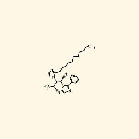 CCCCCCCCCCCc1nccn1C(C(C)C#N)C(C#N)n1ccnc1-c1ccccc1